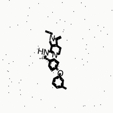 C=C1C2=C(CN1CC)C(N[C@@H](C)c1ccc(Oc3cccc(C)c3)cc1)=NCC2